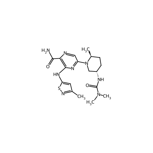 Cc1cc(Nc2nc(N3C[C@@H](NC(=O)N(C)C)CC[C@@H]3C)cnc2C(N)=O)sn1